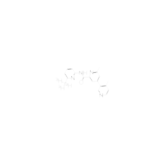 [2H]C([2H])([2H])c1cccc(NC(=O)c2cc(-c3cnccc3C)cc(C)n2)n1